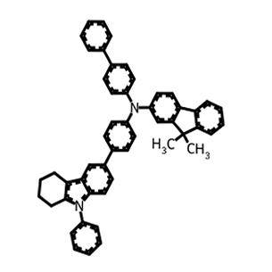 CC1(C)c2ccccc2-c2ccc(N(c3ccc(-c4ccccc4)cc3)c3ccc(-c4ccc5c(c4)c4c(n5-c5ccccc5)CCCC4)cc3)cc21